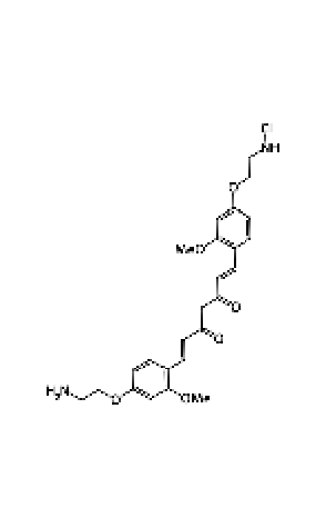 COc1cc(OCCN)ccc1/C=C/C(=O)CC(=O)/C=C/c1ccc(OCCNCl)cc1OC